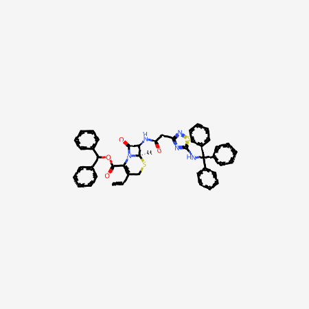 C=CC1=C(C(=O)OC(c2ccccc2)c2ccccc2)N2C(=O)C(NC(=O)Cc3nsc(NC(c4ccccc4)(c4ccccc4)c4ccccc4)n3)[C@H]2SC1